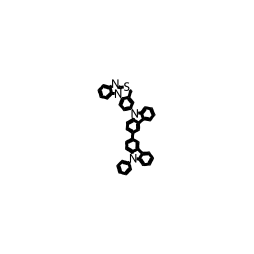 c1ccc(-n2c3ccccc3c3cc(-c4ccc5c(c4)c4ccccc4n5-c4ccc5c(c4)CSc4nc6ccccc6n4-5)ccc32)cc1